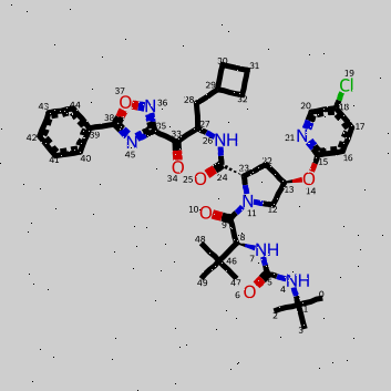 CC(C)(C)NC(=O)N[C@H](C(=O)N1C[C@H](Oc2ccc(Cl)cn2)C[C@H]1C(=O)NC(CC1CCC1)C(=O)c1noc(-c2ccccc2)n1)C(C)(C)C